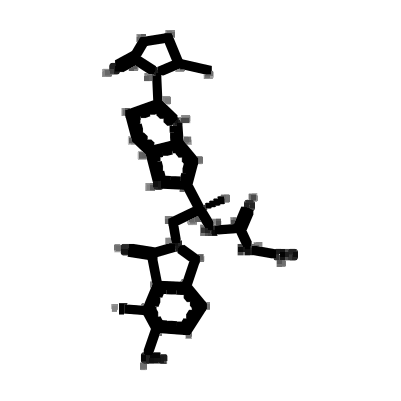 COc1ccc2c(c1F)C(=O)N(C[C@](C)(NC(=O)NC=O)c1cc3nc(N4C(=O)CCC4C)ccc3o1)C2